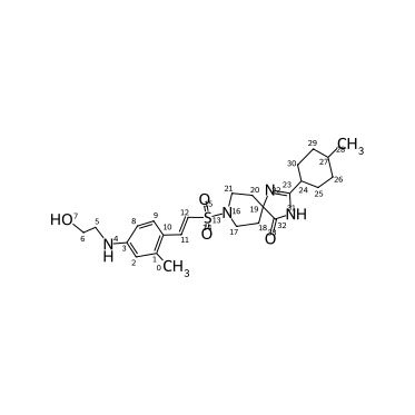 Cc1cc(NCCO)ccc1/C=C/S(=O)(=O)N1CCC2(CC1)N=C(C1CCC(C)CC1)NC2=O